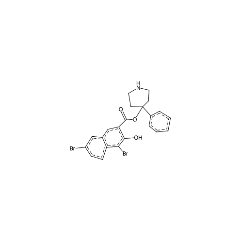 O=C(OC1(c2ccccc2)CCNCC1)c1cc2cc(Br)ccc2c(Br)c1O